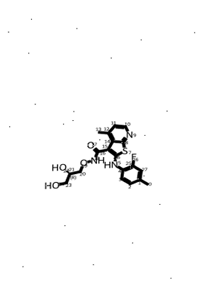 Cc1ccc(Nc2sc3nccc(C)c3c2C(=O)NOC[C@H](O)CO)c(F)c1